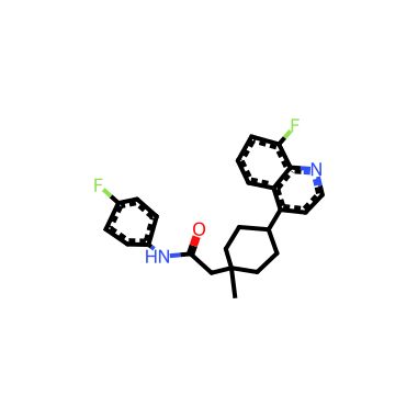 CC1(CC(=O)Nc2ccc(F)cc2)CCC(c2ccnc3c(F)cccc23)CC1